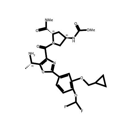 CNC(=O)[C@@H]1C[C@@H](NC(=O)OC)CN1C(=O)c1nc(-c2ccc(OC(F)F)c(OCC3CC3)c2)oc1[C@H](C)N